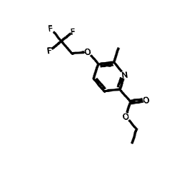 CCOC(=O)c1ccc(OCC(F)(F)F)c(C)n1